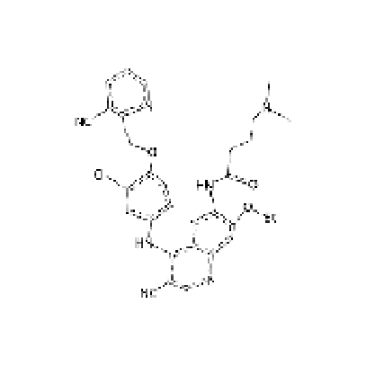 CCOc1cc2ncc(C#N)c(Nc3ccc(OCc4ncccc4C#N)c(Cl)c3)c2cc1NC(=O)CCCN(C)C